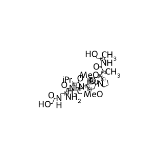 CC[C@H](C)[C@@H]([C@@H](CC(=O)N1CCC[C@H]1[C@H](OC)[C@@H](C)C(=O)N[C@@H](C)CO)OC)N(C)C(=O)[C@@H](NC(=O)[C@@H](N)CNC(=O)CO)C(C)C